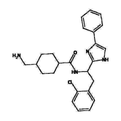 NCC1CCC(C(=O)NC(Cc2ccccc2Cl)c2nc(-c3ccccc3)c[nH]2)CC1